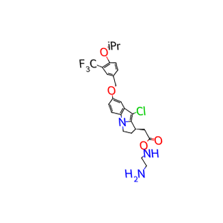 CC(C)Oc1ccc(COc2ccc3c(c2)c(Cl)c2n3CC[C@@H]2CC(=O)ONCCN)cc1C(F)(F)F